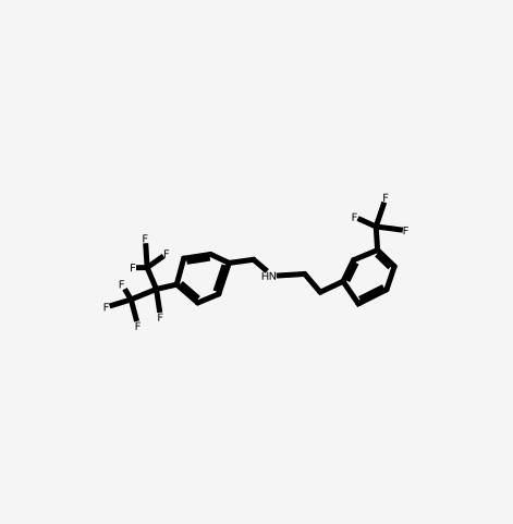 FC(F)(F)c1cccc(CCNCc2ccc(C(F)(C(F)(F)F)C(F)(F)F)cc2)c1